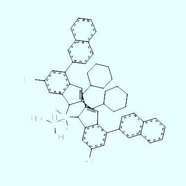 Cc1cc(-c2ccc3ccccc3c2)c2c(c1)[CH]([Zr]([Cl])([Cl])([CH]1C(CC3CCCCC3)=Cc3c(-c4ccc5ccccc5c4)cc(C)cc31)[SiH](C)C)C(CC1CCCCC1)=C2